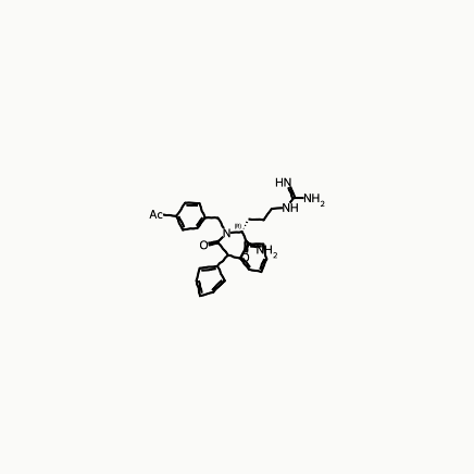 CC(=O)c1ccc(CN(C(=O)C(c2ccccc2)c2ccccc2)[C@H](CCCNC(=N)N)C(N)=O)cc1